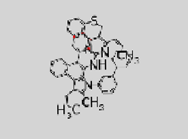 C/C=C\c1nc(Nc2c(-c3ccccc3)c3ccccc3c3c(/C=C\C)c(C)n(-c4cccc(C5C=CC=CC5)c4)c23)nc2c1CSc1ccccc1-2